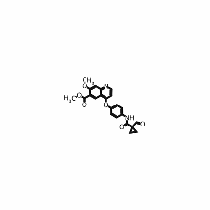 COC(=O)c1cc2c(Oc3ccc(NC(=O)C4(C=O)CC4)cc3)ccnc2cc1OC